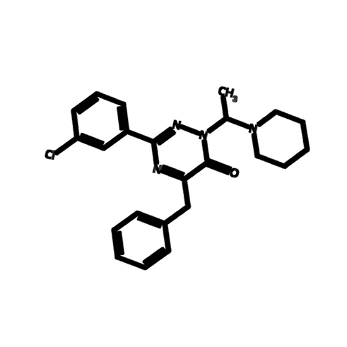 CC(N1CCCCC1)n1nc(-c2cccc(Cl)c2)nc(Cc2ccccc2)c1=O